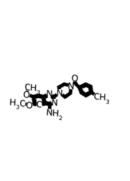 COc1cc2nc(N3CCN(C(=O)c4ccc(C)cc4)CC3)nc(N)c2cc1OC